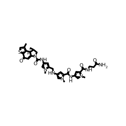 Cc1csc2c1[C@@]13CC1CN(C(=O)Nc1cc(CNc4cc(C(=O)Nc5cc(C(=O)NCCC(N)=O)n(C)c5)n(C)c4)n(C)c1)C3=CC2=O